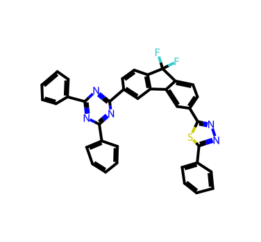 FC1(F)c2ccc(-c3nc(-c4ccccc4)nc(-c4ccccc4)n3)cc2-c2cc(-c3nnc(-c4ccccc4)s3)ccc21